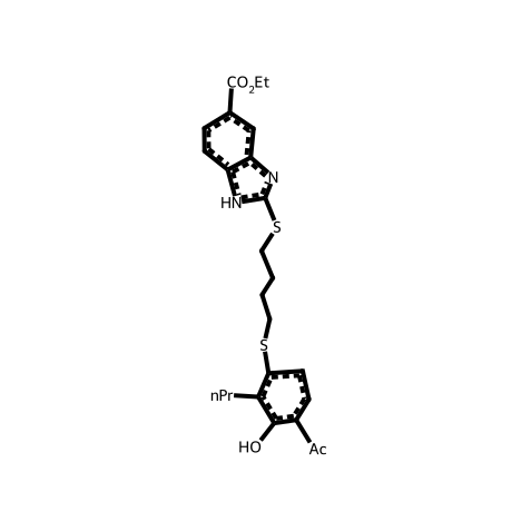 CCCc1c(SCCCCSc2nc3cc(C(=O)OCC)ccc3[nH]2)ccc(C(C)=O)c1O